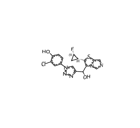 Oc1ccc(-n2cc(C(O)c3c([C@@H]4C[C@@H]4F)sc4cncn34)nn2)cc1Cl